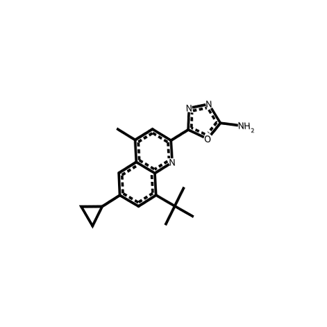 Cc1cc(-c2nnc(N)o2)nc2c(C(C)(C)C)cc(C3CC3)cc12